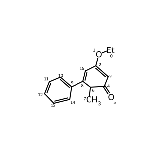 CCOC1=CC(=O)C(C)C(c2ccccc2)=C1